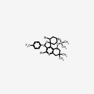 CC(C)c1nc2c(c3c1[C@@H](c1ccc(C(F)(F)F)cc1)OC31CCCCC1Br)[C@@H](O[Si](C)(C)C(C)(C)C)CC(C)(C)C2